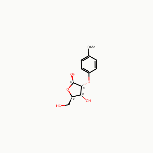 COc1ccc(O[C@@H]2[C@H](O)[C@@H](CO)O[C@H]2O)cc1